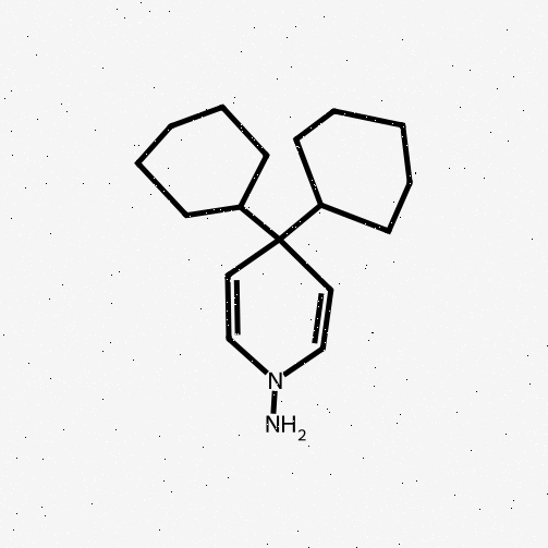 NN1C=CC(C2CCCCC2)(C2CCCCC2)C=C1